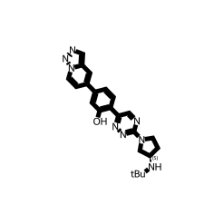 CC(C)(C)N[C@H]1CCN(c2ncc(-c3ccc(-c4ccn5nncc5c4)cc3O)nn2)C1